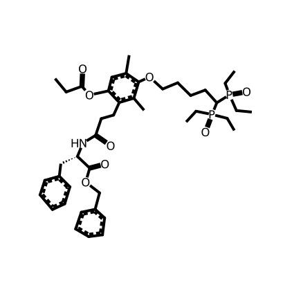 CCC(=O)Oc1cc(C)c(OCCCCC(P(=O)(CC)CC)P(=O)(CC)CC)c(C)c1CCC(=O)N[C@@H](Cc1ccccc1)C(=O)OCc1ccccc1